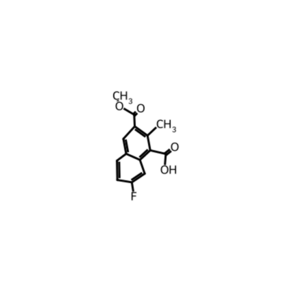 COC(=O)c1cc2ccc(F)cc2c(C(=O)O)c1C